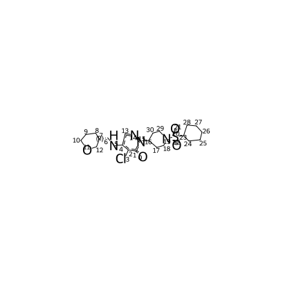 O=c1c(Cl)c(NC[C@H]2CCCOC2)cnn1C1CCN(S(=O)(=O)C2CCCCC2)CC1